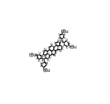 CC(C)(C)c1ccc(N(c2ccc(C(C)(C)C)cc2)c2ccc3c4ccc5c6cccc7c(N(c8ccc(C(C)(C)C)cc8)c8ccc(C(C)(C)C)cc8)ccc(c8ccc(c9cccc2c93)c4c58)c76)cc1